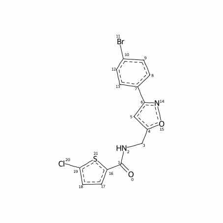 O=C(NCc1cc(-c2ccc(Br)cc2)no1)c1ccc(Cl)s1